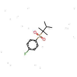 CC(C)C(C)(C)S(=O)(=O)c1ccc(F)cc1